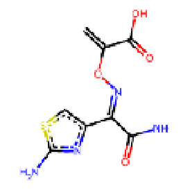 C=C(O/N=C(/C([NH])=O)c1csc(N)n1)C(=O)O